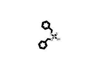 S=P(S)(OCc1ccccc1)SCc1ccccc1